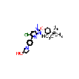 CC(C)(C(=O)O)[C@H]1CC[C@H](Oc2nc3nc(-c4ccc(N5CC[C@H](O)C5)cc4)c(Cl)cc3[nH]2)CC1